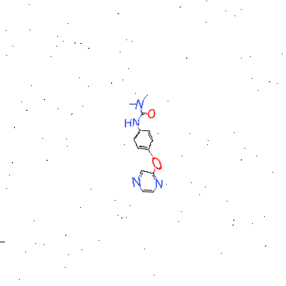 CN(C)C(=O)Nc1ccc(Oc2cnccn2)cc1